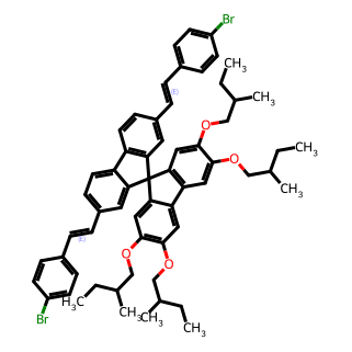 CCC(C)COc1cc2c(cc1OCC(C)CC)C1(c3cc(/C=C/c4ccc(Br)cc4)ccc3-c3ccc(/C=C/c4ccc(Br)cc4)cc31)c1cc(OCC(C)CC)c(OCC(C)CC)cc1-2